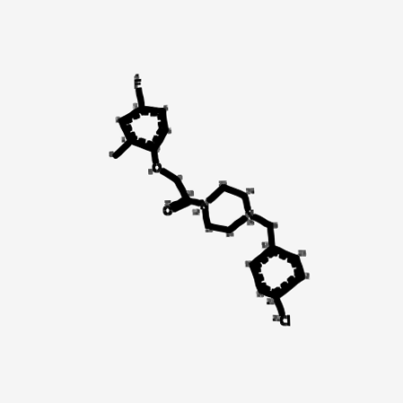 Cc1cc(F)ccc1OCC(=O)N1CCN(Cc2ccc(Cl)cc2)CC1